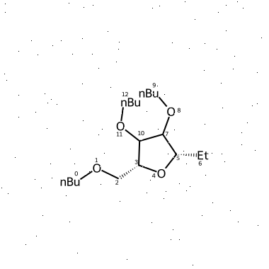 CCCCOC[C@H]1O[C@@H](CC)C(OCCCC)C1OCCCC